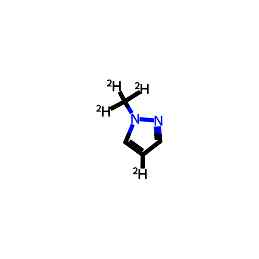 [2H]c1cnn(C([2H])([2H])[2H])c1